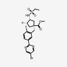 CCS(=O)(=O)N[C@@H]1C[C@@](Cc2cc(-c3ncc(Br)cn3)ccc2F)(C(=O)OC)C[C@@H]1F